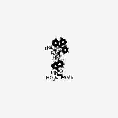 CSCC[C@H](NC(=O)c1cccc2c(NC[C@H](CSC(c3ccccc3)(c3ccccc3)c3ccccc3)NC(=O)OC(C)(C)C)cccc12)C(=O)O